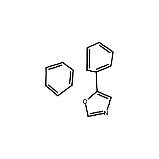 c1ccc(-c2cnco2)cc1.c1ccccc1